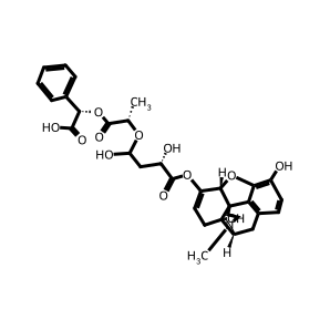 C[C@H](OC(O)C[C@H](O)C(=O)OC1=CC[C@@]2(O)[C@H]3Cc4ccc(O)c5c4C2(CCN3C)[C@H]1O5)C(=O)O[C@H](C(=O)O)c1ccccc1